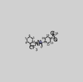 C/C(=N\Nc1ccccc1C(F)(F)F)c1ccc(S(C)(=O)=O)cc1